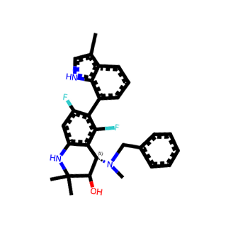 Cc1c[nH]c2c(-c3c(F)cc4c(c3F)[C@H](N(C)Cc3ccccc3)C(O)C(C)(C)N4)cccc12